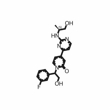 C[C@@H](CO)Nc1nccc(-c2ccn(C(CO)c3cccc(F)c3)c(=O)c2)n1